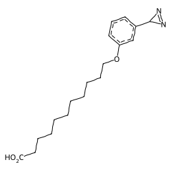 O=C(O)CCCCCCCCCCOc1cccc(C2N=N2)c1